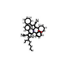 CCCCCC(CC)c1[nH]c(/C(=C2\N=C(C3CCCCCC3)C(C#N)=C2C2CCCCCC2)c2ccccc2)c(C2CCCCC2)c1C#N